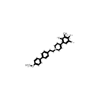 COc1ccc(-c2ccc(CCN3CC=C(c4cc(F)c(F)c(C)c4F)CC3)cc2)cc1